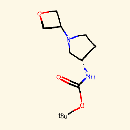 CC(C)(C)OC(=O)N[C@H]1CCN(C2COC2)C1